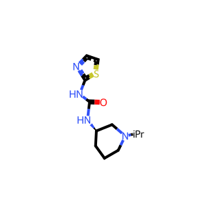 CC(C)N1CCC[C@@H](NC(=O)Nc2nccs2)C1